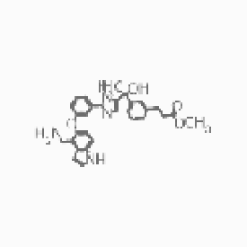 COC(=O)CCc1cccc(C(C)(O)c2cnc(-c3cccc(Oc4ccc5[nH]ccc5c4CN)c3)[nH]2)c1